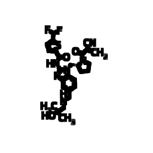 C=C(C#N)C(=O)N1CCC[C@@H]1Cn1c(NC(=O)c2ccc(C(F)F)s2)nc2cc(CNCC(C)(C)O)ccc21